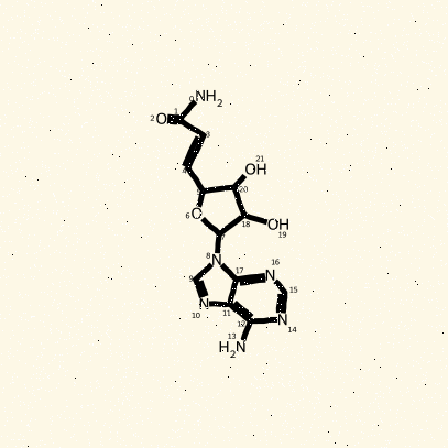 NC(=O)C=CC1OC(n2cnc3c(N)ncnc32)C(O)C1O